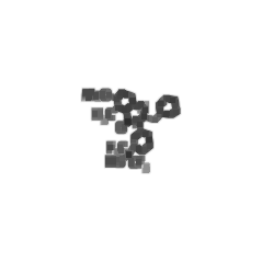 COc1ccc2nc(Cc3ccccc3)n(-c3cccc(C(O)(C(F)(F)F)C(F)(F)F)c3)c(=O)c2c1C